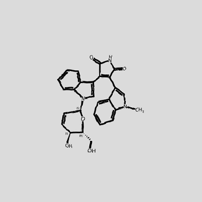 Cn1cc(C2=C(c3cn([C@@H]4C=C[C@H](O)[C@@H](CO)O4)c4ccccc34)C(=O)NC2=O)c2ccccc21